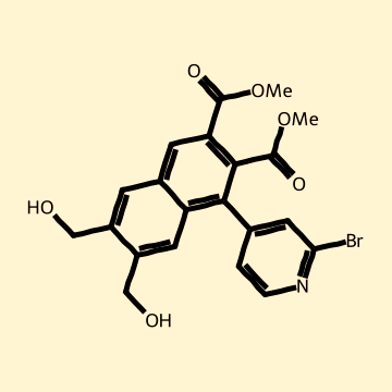 COC(=O)c1cc2cc(CO)c(CO)cc2c(-c2ccnc(Br)c2)c1C(=O)OC